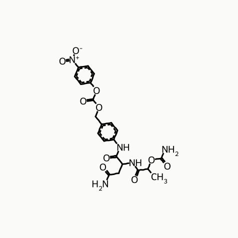 CC(OC(N)=O)C(=O)NC(CC(N)=O)C(=O)Nc1ccc(COC(=O)Oc2ccc([N+](=O)[O-])cc2)cc1